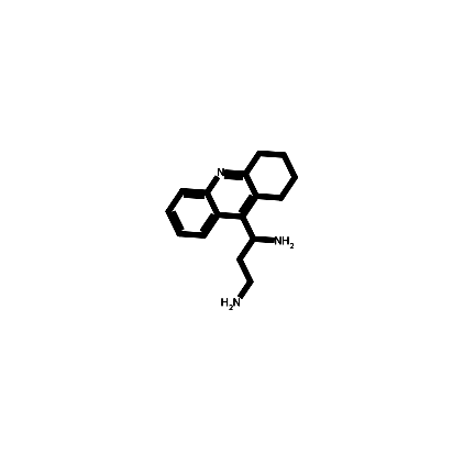 NCCC(N)c1c2c(nc3ccccc13)CCCC2